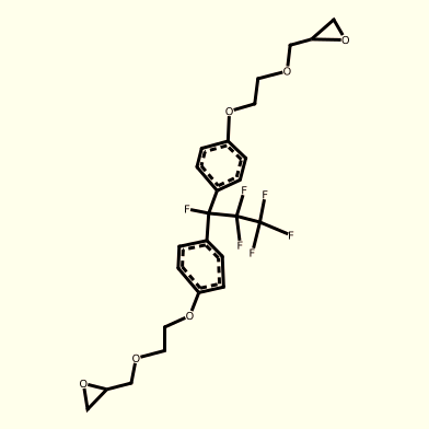 FC(F)(F)C(F)(F)C(F)(c1ccc(OCCOCC2CO2)cc1)c1ccc(OCCOCC2CO2)cc1